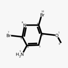 COc1cc(N)c(Br)nc1Br